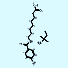 CCC(C)(C)N.O=C(O)CCCCCCCNC(=O)c1ccc(O)cc1